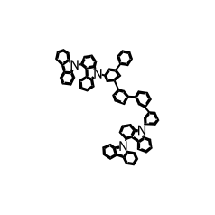 c1ccc(-c2cc(-c3cccc(-c4cccc(-c5cccc(-n6c7ccccc7c7c(-n8c9ccccc9c9ccccc98)cccc76)c5)c4)c3)cc(-n3c4ccccc4c4c(-n5c6ccccc6c6ccccc65)cccc43)c2)cc1